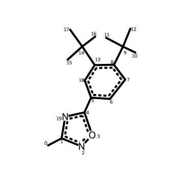 Cc1noc(-c2ccc(C(C)(C)C)c(C(C)(C)C)c2)n1